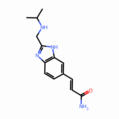 CC(C)NCc1nc2ccc(/C=C/C(N)=O)cc2[nH]1